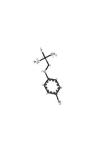 CC(C)(F)COc1ccc(Br)cc1